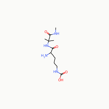 CNC(=O)C(C)(C)NC(=O)C(N)CCCNC(=O)O